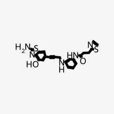 Nc1nc2c(O)cc(C#CCNc3cccc(NC(=O)CCc4nccs4)c3)cc2s1